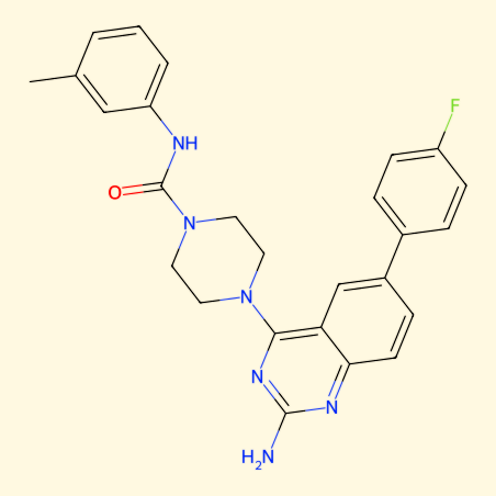 Cc1cccc(NC(=O)N2CCN(c3nc(N)nc4ccc(-c5ccc(F)cc5)cc34)CC2)c1